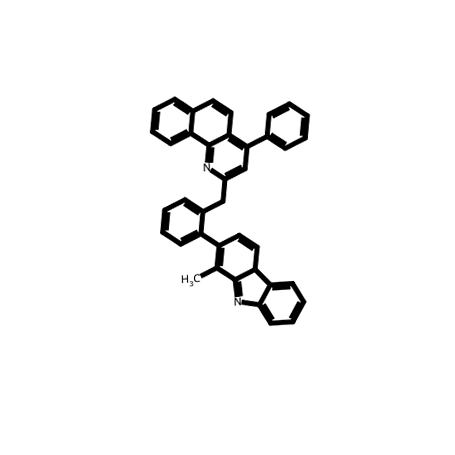 CC1=C(c2ccccc2Cc2cc(-c3ccccc3)c3ccc4ccccc4c3n2)C=CC2C1=Nc1ccccc12